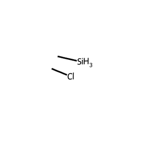 CCl.C[SiH3]